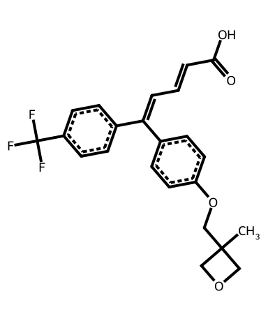 CC1(COc2ccc(/C(=C\C=C\C(=O)O)c3ccc(C(F)(F)F)cc3)cc2)COC1